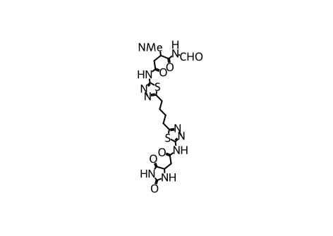 CNC(CC(=O)Nc1nnc(CCCCc2nnc(NC(=O)CC3NC(=O)NC3=O)s2)s1)C(=O)NC=O